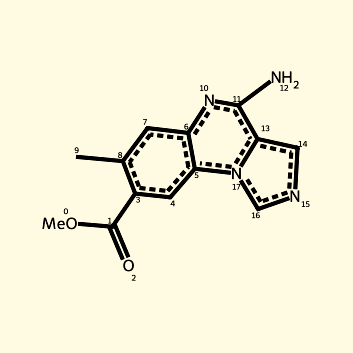 COC(=O)c1cc2c(cc1C)nc(N)c1cncn12